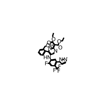 CCOC(=O)C(C(=O)OCC)c1ncc(Nc2cc(-c3ccn(C)n3)c(C(F)(F)F)cc2F)c(-c2ccccc2CO)n1